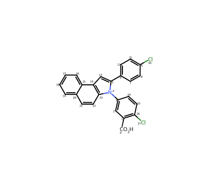 O=C(O)c1cc(-n2c(-c3ccc(Cl)cc3)cc3c4ccccc4ccc32)ccc1Cl